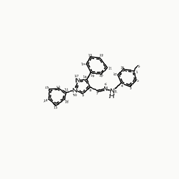 Cc1ccc(N/N=C/c2cn(-c3ccccc3)nc2-c2ccccc2)cc1